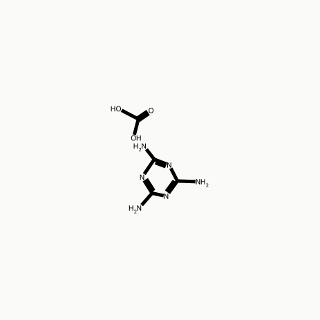 Nc1nc(N)nc(N)n1.O=C(O)O